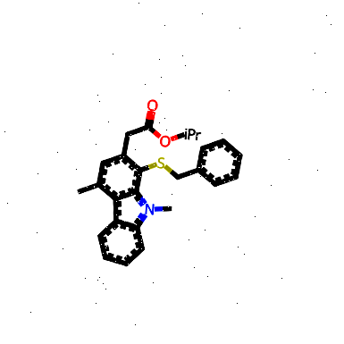 Cc1cc(CC(=O)OC(C)C)c(SCc2ccccc2)c2c1c1ccccc1n2C